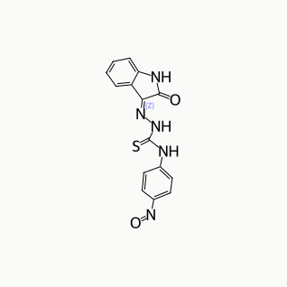 O=Nc1ccc(NC(=S)N/N=C2\C(=O)Nc3ccccc32)cc1